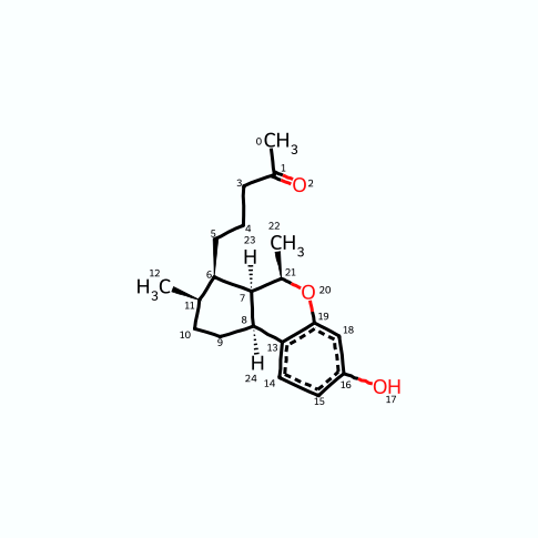 CC(=O)CCC[C@H]1[C@@H]2[C@H](CC[C@H]1C)c1ccc(O)cc1O[C@@H]2C